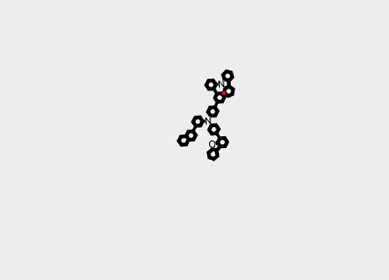 c1cc(-c2ccc(N(c3ccc(-c4cccc5c4oc4ccccc45)cc3)c3cccc(-c4ccc5ccccc5c4)c3)cc2)cc(-c2ccccc2-n2c3ccccc3c3ccccc32)c1